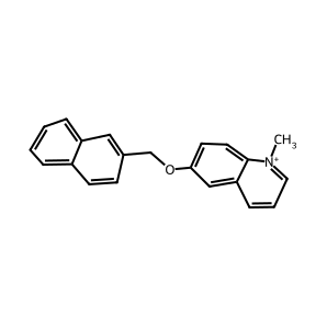 C[n+]1cccc2cc(OCc3ccc4ccccc4c3)ccc21